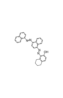 Oc1ccc2c(c1N=Nc1ccc(N=Nc3cccc4ccccc34)c3ccccc13)CCCC2